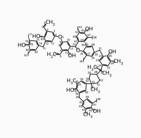 C=Cc1cc(Oc2cc(C=C)c(O)c(C(Oc3c(I)cc(Cc4cc(C(C)(C)C5CCC(C)(c6cc(C)c(O)c(Cc7cc(C)c(O)c(I)c7)c6)CC5)cc(C)c4O)cc3I)c3cc(I)c(O)c(I)c3)c2)cc(Cc2cc(I)c(O)c(I)c2)c1O